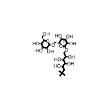 CC(C)(C)C[C@H](O)[C@@H](O)[C@H](O)[C@H](O)CO[C@H]1O[C@H](CO[C@H]2O[C@H](CO)[C@@H](O)[C@H](O)[C@H]2O)[C@@H](O)[C@H](O)[C@H]1O